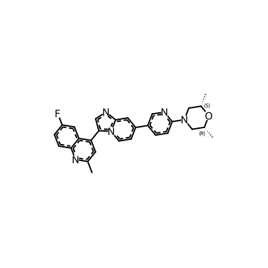 Cc1cc(-c2cnc3cc(-c4ccc(N5C[C@@H](C)O[C@@H](C)C5)nc4)ccn23)c2cc(F)ccc2n1